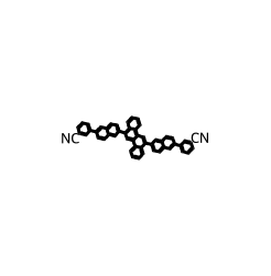 N#Cc1cccc(-c2ccc3cc(-c4cc5c6ccccc6c(-c6ccc7cc(-c8cccc(C#N)c8)ccc7c6)cc5c5ccccc45)ccc3c2)c1